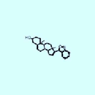 C[C@]12CC[C@H](O)CC1=CCC1C2CC[C@]2(C)C(c3onc4ccccc34)=CCC12